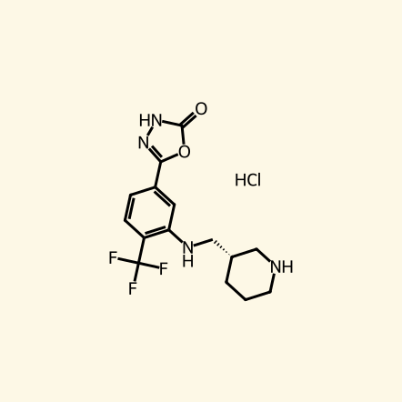 Cl.O=c1[nH]nc(-c2ccc(C(F)(F)F)c(NC[C@H]3CCCNC3)c2)o1